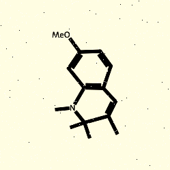 COc1ccc2c(c1)N(C)C(C)(C)C(C)=C2